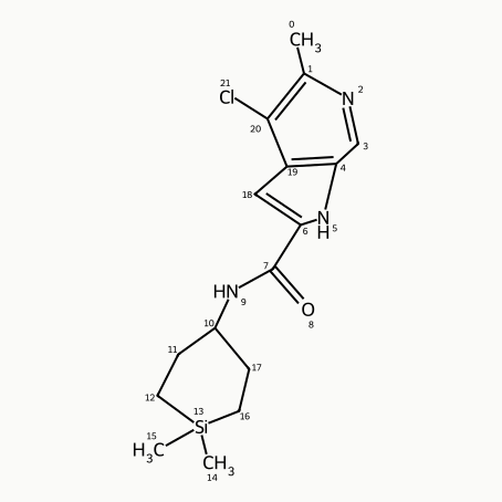 Cc1ncc2[nH]c(C(=O)NC3CC[Si](C)(C)CC3)cc2c1Cl